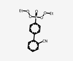 CCOOP(=O)(OOCC)c1ccc(-c2ccc[c]c2C#N)cc1